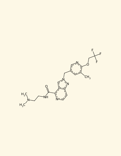 Cc1cc(Cn2cc3c(C(=O)NCCN(C)C)nccc3n2)cnc1OCC(F)(F)F